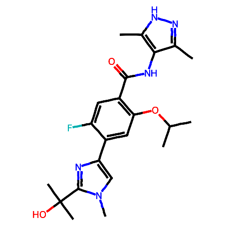 Cc1n[nH]c(C)c1NC(=O)c1cc(F)c(-c2cn(C)c(C(C)(C)O)n2)cc1OC(C)C